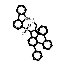 CCC1=Cc2c(ccc(-c3ccccc3)c2-c2ccccc2-c2ccccc2)[CH]1[Zr]([Cl])([Cl])[c]1cccc2c1[SiH2]c1ccccc1-2